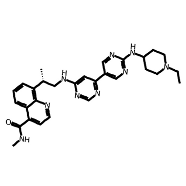 CCN1CCC(Nc2ncc(-c3cc(NC[C@@H](C)c4cccc5c(C(=O)NC)ccnc45)ncn3)cn2)CC1